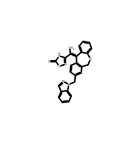 C/C(=C1/c2ccc(Cn3ncc4ccccc43)cc2COc2ccccc21)c1noc(=O)[nH]1